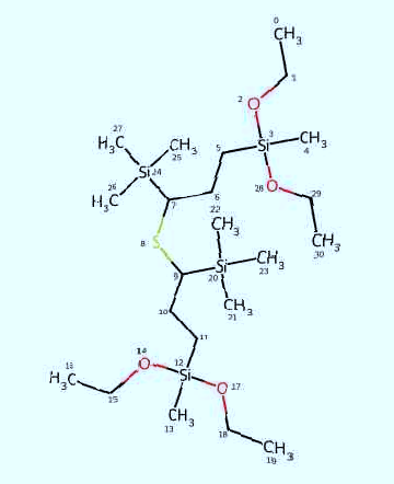 CCO[Si](C)(CCC(SC(CC[Si](C)(OCC)OCC)[Si](C)(C)C)[Si](C)(C)C)OCC